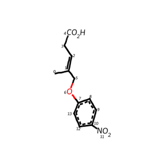 C/C(=C\CC(=O)O)COc1ccc([N+](=O)[O-])cc1